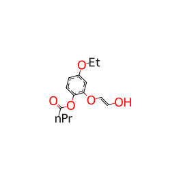 CCCC(=O)Oc1ccc(OCC)cc1OC=CO